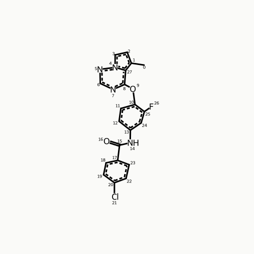 Cc1ccn2ncnc(Oc3ccc(NC(=O)c4ccc(Cl)cc4)cc3F)c12